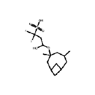 CC1CC2CC(C2)CC(C)(OC(O)CC(F)(F)S(=O)(=O)O)C1